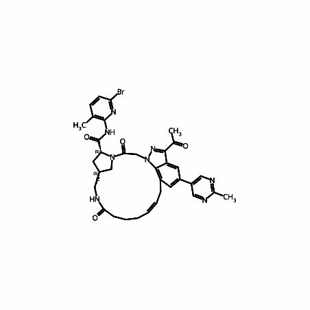 CC(=O)c1nn2c3c(cc(-c4cnc(C)nc4)cc13)CC=CCCCC(=O)NC[C@@]1(F)C[C@@H](C(=O)Nc3nc(Br)ccc3C)N(C1)C(=O)C2